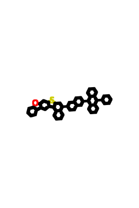 c1ccc(-c2c3ccccc3c(-c3ccc4cc(-c5cc6sc7cc8oc9ccccc9c8cc7c6c6ccccc56)ccc4c3)c3ccccc23)cc1